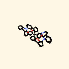 c1ccc([Si](c2ccccc2)(c2cccc3c2oc2c(-n4c5ccccc5c5ccccc54)cccc23)c2cccc3c2oc2c(-n4c5ccccc5c5ccncc54)cccc23)cc1